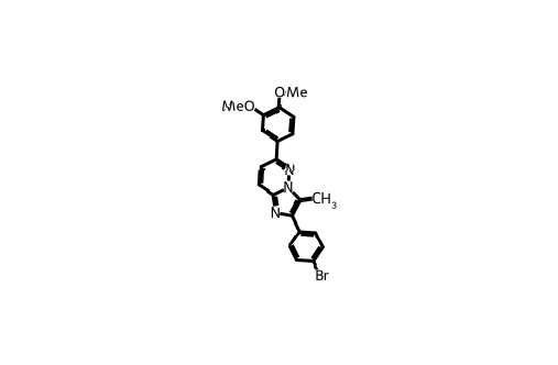 COc1ccc(-c2ccc3nc(-c4ccc(Br)cc4)c(C)n3n2)cc1OC